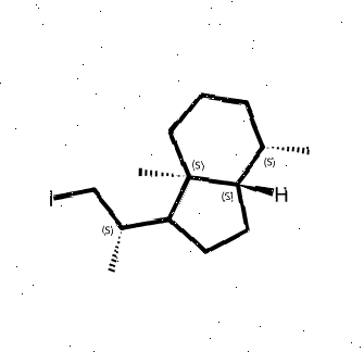 C[C@H](CI)C1CC[C@H]2[C@@H](C)CCC[C@]12C